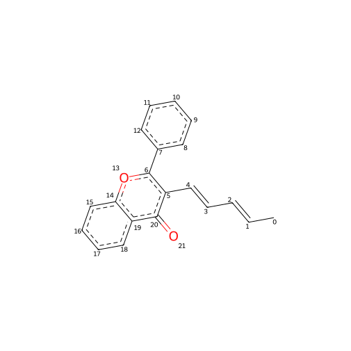 CC=CC=Cc1c(-c2ccccc2)oc2ccccc2c1=O